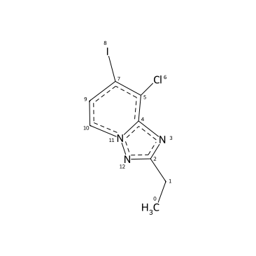 CCc1nc2c(Cl)c(I)ccn2n1